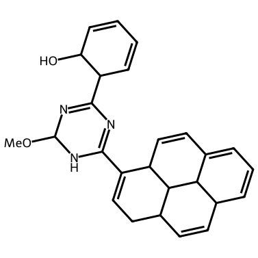 COC1N=C(C2C=CC=CC2O)N=C(C2=CCC3C=CC4C=CC=C5C=CC2C3C54)N1